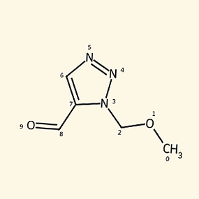 COCn1nncc1C=O